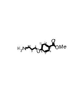 COC(=O)c1ccc(OCCCN)cc1